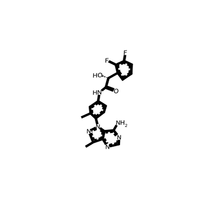 Cc1cc(NC(=O)[C@H](O)c2cccc(F)c2F)ccc1-n1nc(C)c2ncnc(N)c21